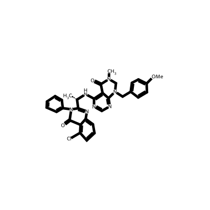 COc1ccc(CN2CN(C)C(=O)c3c(N[C@@H](C)c4nc5cccc(Cl)c5c(=O)n4-c4ccccc4)ncnc32)cc1